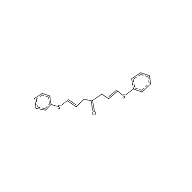 O=C(CC=CSc1ccccc1)CC=CSc1ccccc1